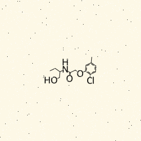 CCC(CO)NC(=O)COc1cc(C)ccc1Cl